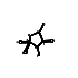 CC1CS(=O)(=O)C(C)C1=O